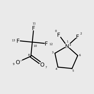 F[N+]1(F)CCCC1.O=C([O-])C(F)(F)F